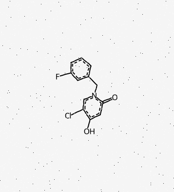 O=c1cc(O)c(Cl)cn1Cc1cccc(F)c1